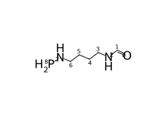 O=CNCCCCNP